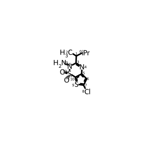 CC(C)C(C)C1=Nc2cc(Cl)sc2S(=O)(=O)N1N